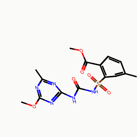 COC(=O)c1ccc(C)cc1S(=O)(=O)NC(=O)Nc1nc(C)nc(OC)n1